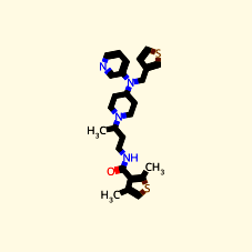 Cc1csc(C)c1C(=O)NCCC(C)N1CCC(N(Cc2ccsc2)c2cccnc2)CC1